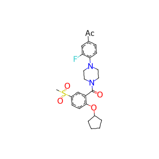 CC(=O)c1ccc(N2CCN(C(=O)c3cc(S(C)(=O)=O)ccc3OC3CCCC3)CC2)c(F)c1